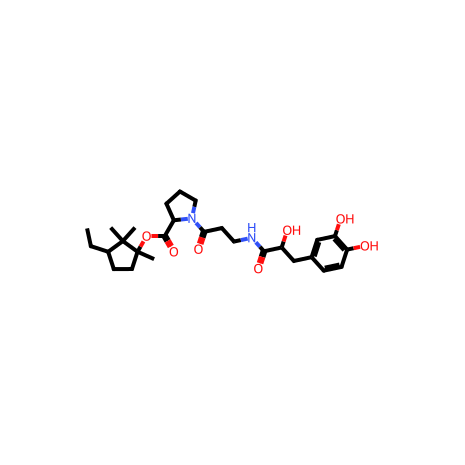 CCC1CCC(C)(OC(=O)C2CCCN2C(=O)CCNC(=O)C(O)Cc2ccc(O)c(O)c2)C1(C)C